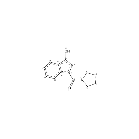 O=C(N1CCCC1)n1nc(O)c2ccccc21